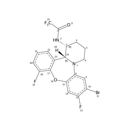 O=C(N[C@@H]1CCCN2c3cc(Br)c(F)cc3Oc3c(F)cccc3[C@H]12)C(F)(F)F